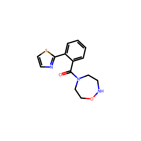 O=C(c1ccccc1-c1nccs1)N1CCNOCC1